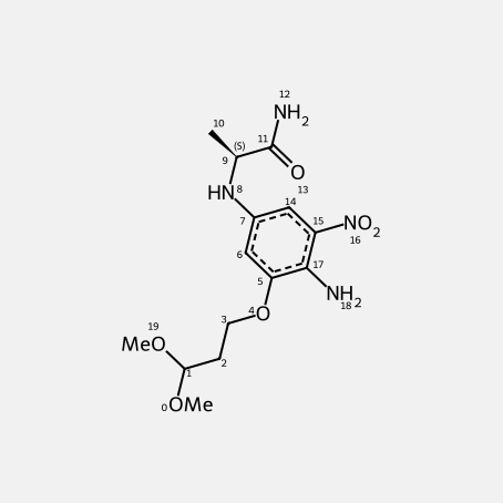 COC(CCOc1cc(N[C@@H](C)C(N)=O)cc([N+](=O)[O-])c1N)OC